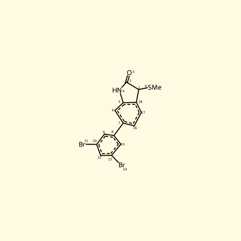 CSC1C(=O)Nc2cc(-c3cc(Br)cc(Br)c3)ccc21